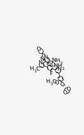 COc1cc(-c2cnc(N)c(-c3ccc(-c4cc(C)cnc4-c4cn(CC5(C#N)CCOCC5)cc(C(N)=O)c4=O)cc3F)c2)ccc1OC[C@H]1COCCO1